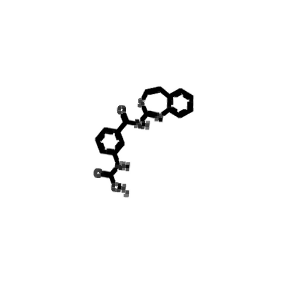 CC(=O)Nc1cccc(C(=O)NC2=Nc3ccccc3C=CS2)c1